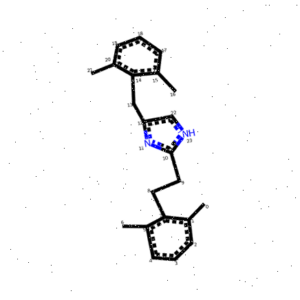 Cc1cccc(C)c1CCc1nc(Cc2c(C)cccc2C)c[nH]1